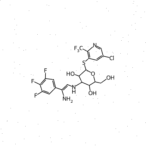 N/C(=C\NC1C(O)C(CO)OC(Sc2cc(Cl)cnc2C(F)(F)F)C1O)c1cc(F)c(F)c(F)c1